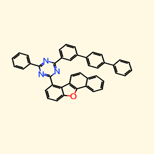 c1ccc(-c2ccc(-c3cccc(-c4nc(-c5ccccc5)nc(-c5cccc6oc7c8ccccc8ccc7c56)n4)c3)cc2)cc1